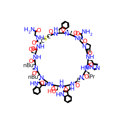 CCCC[C@H]1C(=O)N(C)[C@@H](CCCC)C(=O)N[C@@H](CO)C(=O)N[C@H](C(=O)NCC(N)=O)CSCC(=O)N[C@@H](Cc2ccccc2)C(=O)N(C)[C@@H](C)C(=O)N[C@@H](CC(N)=O)C(=O)N2CCC[C@H]2C(=O)N[C@@H](Cc2cnc[nH]2)C(=O)N[C@@H](CC(C)C)C(=O)N(C)CC(=O)N[C@@H](Cc2c[nH]c3ccccc23)C(=O)N[C@@H](CO)C(=O)N[C@@H](Cc2c[nH]c3ccccc23)C(=O)N1C